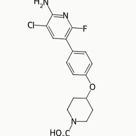 Nc1nc(F)c(-c2ccc(OC3CCN(C(=O)O)CC3)cc2)cc1Cl